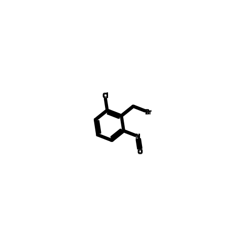 O=Nc1cccc(Cl)c1CBr